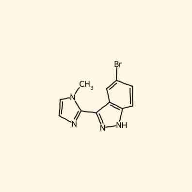 Cn1ccnc1-c1n[nH]c2ccc(Br)cc12